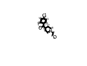 O=CCN1CCC(C(=O)c2ccc(Cl)cc2F)CC1